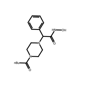 CCCCC(=O)N1CCN(C(C(=O)NO)c2ccccc2)CC1